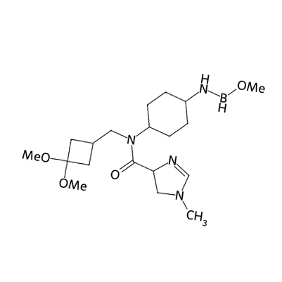 COBNC1CCC(N(CC2CC(OC)(OC)C2)C(=O)C2CN(C)C=N2)CC1